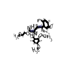 COCCO/C(N)=C(/C=C(\N)c1cc(Cl)ccc1F)NCc1ccc(OC)cc1OC